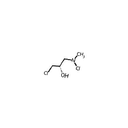 CN(Cl)C[C@H](O)CCl